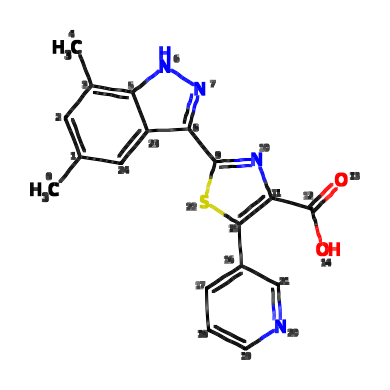 Cc1cc(C)c2[nH]nc(-c3nc(C(=O)O)c(-c4cccnc4)s3)c2c1